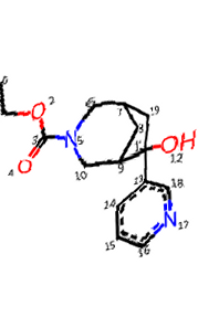 CCOC(=O)N1CC2CC(C1)C(O)(c1cccnc1)C2